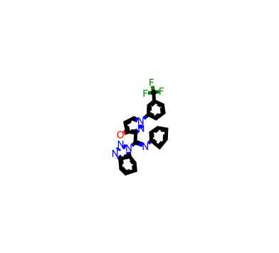 O=c1ccn(-c2cccc(C(F)(F)F)c2)nc1C(=Nc1ccccc1)n1nnc2ccccc21